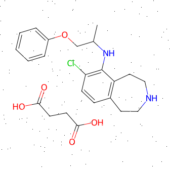 CC(COc1ccccc1)Nc1c(Cl)ccc2c1CCNCC2.O=C(O)CCC(=O)O